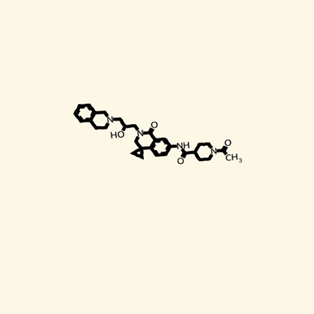 CC(=O)N1CCC(C(=O)Nc2ccc3c(c2)C(=O)N(CC(O)CN2CCc4ccccc4C2)CC32CC2)CC1